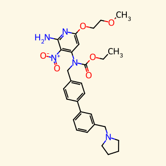 CCOC(=O)N(Cc1ccc(-c2cccc(CN3CCCC3)c2)cc1)c1cc(OCCOC)nc(N)c1[N+](=O)[O-]